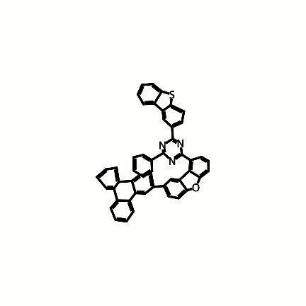 c1ccc(-c2nc(-c3ccc4sc5ccccc5c4c3)nc(-c3cccc4oc5ccc(-c6ccc7c8ccccc8c8ccccc8c7c6)cc5c34)n2)cc1